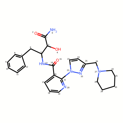 NC(=O)C(O)C(Cc1ccccc1)NC(=O)c1cccnc1-n1ccc(CN2CCCCC2)n1